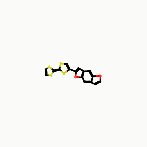 C1=CSC(=C2SC=C(c3cc4cc5occc5cc4o3)S2)S1